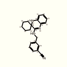 N#Cc1cccc(CNC2=Nc3ccccc3NC23CCCCC3)c1